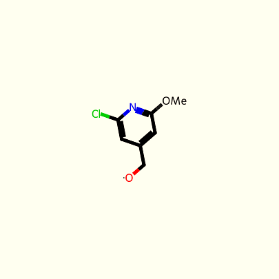 COc1cc(C[O])cc(Cl)n1